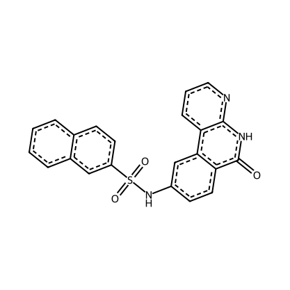 O=c1[nH]c2ncccc2c2cc(NS(=O)(=O)c3ccc4ccccc4c3)ccc12